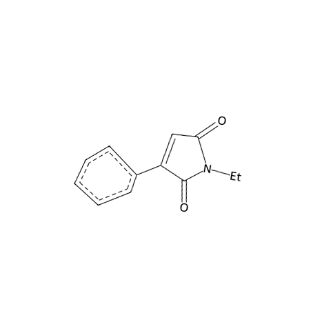 CCN1C(=O)C=C(c2ccccc2)C1=O